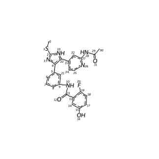 CSc1nc(-c2cccc(NC(=O)c3cc(O)ccc3F)c2)c(-c2ccnc(NC(C)=O)c2)[nH]1